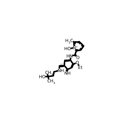 CCOC1=CC(=N)/C(=C\NCCC(C)(C)O)C=C1NC(=O)c1cccc(C)[n+]1O